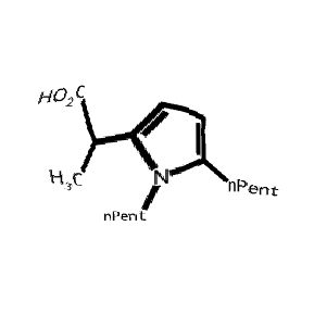 CCCCCc1ccc(C(C)C(=O)O)n1CCCCC